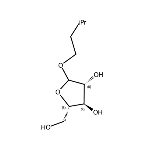 CC(C)CCOC1O[C@@H](CO)[C@H](O)[C@H]1O